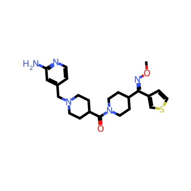 CON=C(c1ccsc1)C1CCN(C(=O)C2CCN(Cc3ccnc(N)c3)CC2)CC1